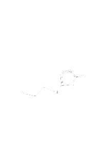 Cc1csc(NCCN)n1